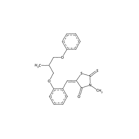 CC(COc1ccccc1)COc1ccccc1C=C1SC(=S)N(C)C1=O